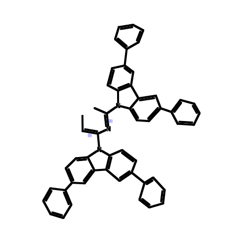 C/C=C(\N=C(/C)n1c2ccc(-c3ccccc3)cc2c2cc(-c3ccccc3)ccc21)n1c2ccc(-c3ccccc3)cc2c2cc(-c3ccccc3)ccc21